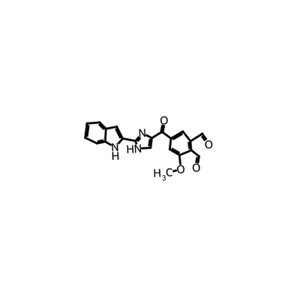 COc1cc(C(=O)c2c[nH]c(-c3cc4ccccc4[nH]3)n2)cc(C=O)c1C=O